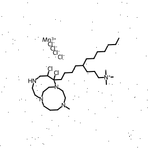 CCCCCCCC(CCCCC1(Cl)C(Cl)CNCCN2CCCN(C)CCN1CC2)CCC[N+](C)(C)C.[Cl-].[Cl-].[Cl-].[Cl-].[Mn+3]